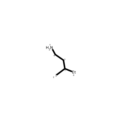 CCC(I)CCN